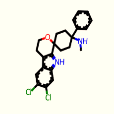 CNC1(c2ccccc2)CCC2(CC1)OCCc1c2[nH]c2cc(Cl)c(Cl)cc12